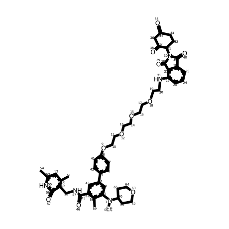 CCN(c1cc(-c2ccc(OCCOCCOCCOCCNc3cccc4c3C(=O)N(C3CCC(=O)CC3=O)C4=O)cc2)cc(C(=O)NCc2c(C)cc(C)[nH]c2=O)c1C)C1CCOCC1